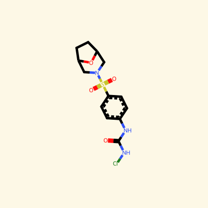 O=C(NCl)Nc1ccc(S(=O)(=O)N2CC3CCC(C2)O3)cc1